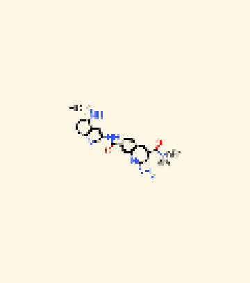 CCCN(CCC)C(=O)C1=Cc2ccc(C(=O)Nc3cnc4c(c3)C(NC(=O)O)CCC4)cc2N=C(N)C1